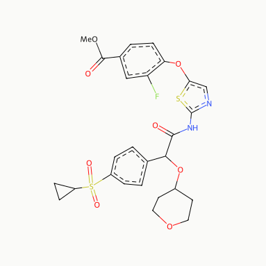 COC(=O)c1ccc(Oc2cnc(NC(=O)C(OC3CCOCC3)c3ccc(S(=O)(=O)C4CC4)cc3)s2)c(F)c1